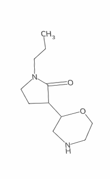 CCCN1CCC(C2CNCCO2)C1=O